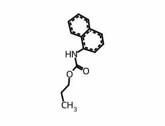 CCCOC(=O)Nc1cccc2ccccc12